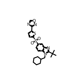 CC(C)(C)c1nc2cc(S(=O)(=O)c3ccc(-c4ncon4)s3)ccc2n1CC1CCCCC1